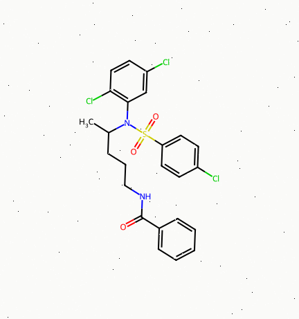 CC(CCCNC(=O)c1ccccc1)N(c1cc(Cl)ccc1Cl)S(=O)(=O)c1ccc(Cl)cc1